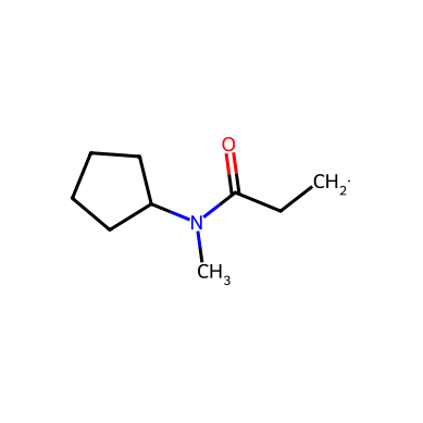 [CH2]CC(=O)N(C)C1CCCC1